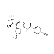 C#Cc1ccc([C@H](C)NC(=O)[C@@H]2C[C@@H](O)CN2C(=O)C(N)C(C)(C)O)cc1